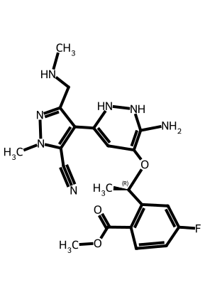 CNCc1nn(C)c(C#N)c1C1=CC(O[C@H](C)c2cc(F)ccc2C(=O)OC)=C(N)NN1